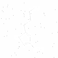 O=C(O)c1cc(CCCO)[nH]n1